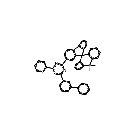 CC1(C)c2ccccc2C2(c3ccccc3-c3ccc(-c4nc(-c5ccccc5)nc(-c5cccc(-c6ccccc6)c5)n4)cc32)c2ccccc21